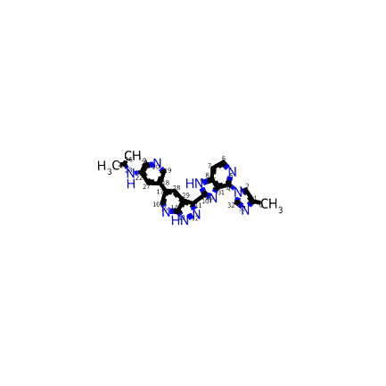 Cc1cn(-c2nccc3[nH]c(-c4n[nH]c5ncc(-c6cncc(NC(C)C)c6)cc45)nc23)cn1